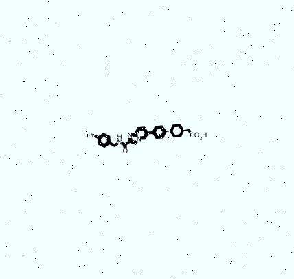 CC(C)c1ccc(CNC(=O)c2cn3cc(-c4ccc([C@H]5CC[C@H](CC(=O)O)CC5)cc4)ccc3n2)cc1